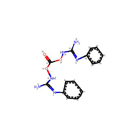 NC(=Nc1ccccc1)NOC(=O)ONC(N)=Nc1ccccc1